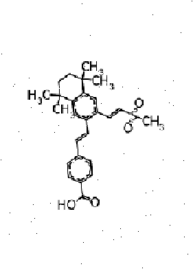 CC1(C)CCC(C)(C)c2cc(C=CS(C)(=O)=O)c(C=Cc3ccc(C(=O)O)cc3)cc21